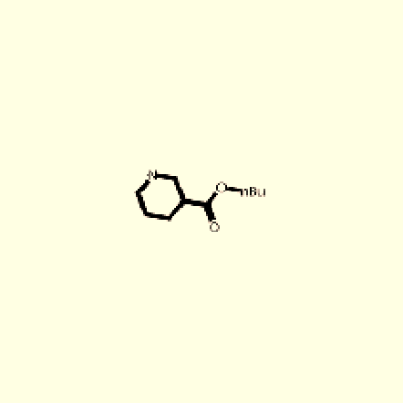 CCCCOC(=O)C1CCC[N]C1